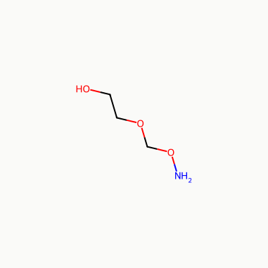 NOCOCCO